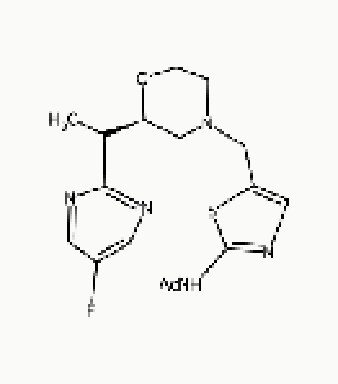 CC(=O)Nc1ncc(CN2CCO[C@H](C(C)c3ncc(F)cn3)C2)s1